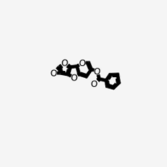 O=C(OC1=COC2C(=C1)Oc1c2oc2c1O2)c1ccccc1